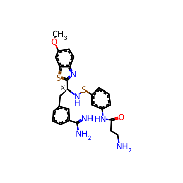 COc1ccc2nc([C@H](Cc3cccc(C(=N)N)c3)NSc3cccc(NC(=O)CCN)c3)sc2c1